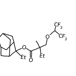 CCC(C)(COC(C(F)(F)F)C(F)(F)F)C(=O)OC1(CC)C2CC3CC(C2)CC1C3